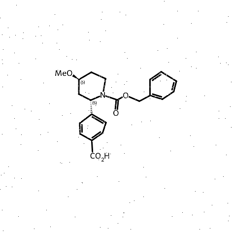 CO[C@H]1CCN(C(=O)OCc2ccccc2)[C@H](c2ccc(C(=O)O)cc2)C1